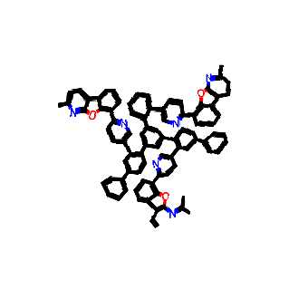 C=Cc1c(N=C(C)C)oc2c(-c3ccc(-c4cc(-c5ccccc5)ccc4-c4cc(-c5ccccc5-c5ccc(-c6cccc7c8c(oc67)N=C(C)CC8)nc5)cc(-c5ccc(-c6ccccc6)cc5-c5ccc(-c6cccc7c6oc6nc(C)ccc67)nc5)c4)cn3)cccc12